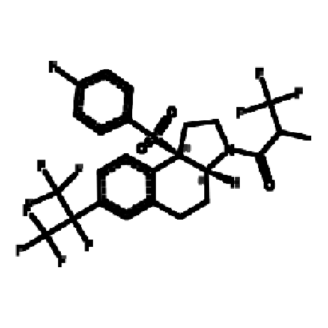 CC(C(=O)N1CC[C@@]2(S(=O)(=O)c3ccc(F)cc3)c3ccc(C(F)(C(F)(F)F)C(F)(F)F)cc3CC[C@@H]12)C(F)(F)F